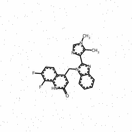 Cc1c(-c2nc3ccccc3n2Cc2cc(=O)[nH]c3c(F)c(F)ccc23)ncn1C